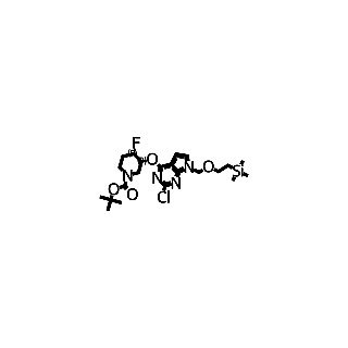 CC(C)(C)OC(=O)N1CC[C@H](F)[C@H](Oc2nc(Cl)nc3c2ccn3COCC[Si](C)(C)C)C1